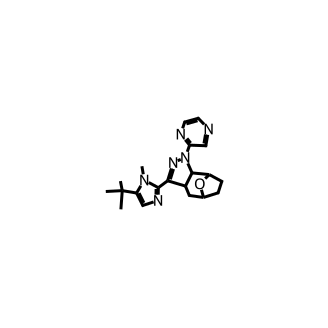 Cn1c(C(C)(C)C)cnc1C1=NN(c2cnccn2)C2C3CCC(CC12)O3